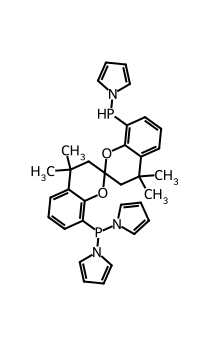 CC1(C)CC2(CC(C)(C)c3cccc(P(n4cccc4)n4cccc4)c3O2)Oc2c(Pn3cccc3)cccc21